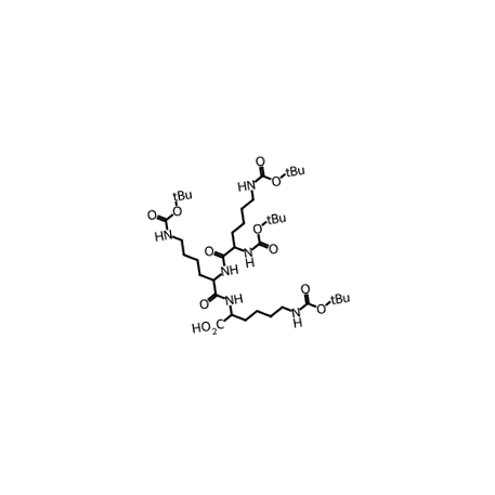 CC(C)(C)OC(=O)NCCCCC(NC(=O)C(CCCCNC(=O)OC(C)(C)C)NC(=O)C(CCCCNC(=O)OC(C)(C)C)NC(=O)OC(C)(C)C)C(=O)O